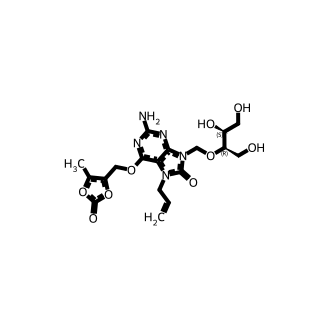 C=CCn1c(=O)n(CO[C@H](CO)[C@@H](O)CO)c2nc(N)nc(OCc3oc(=O)oc3C)c21